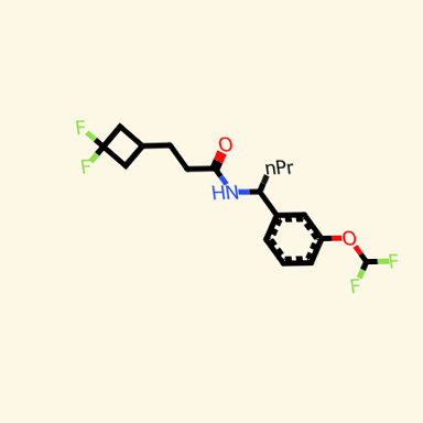 CCCC(NC(=O)CCC1CC(F)(F)C1)c1cccc(OC(F)F)c1